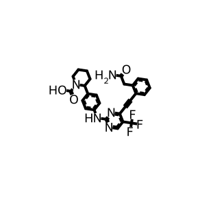 NC(=O)Cc1ccccc1C#Cc1nc(Nc2ccc(C3CCCCN3C(=O)O)cc2)ncc1C(F)(F)F